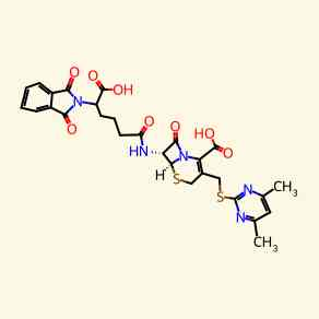 Cc1cc(C)nc(SCC2=C(C(=O)O)N3C(=O)[C@@H](NC(=O)CCCC(C(=O)O)N4C(=O)c5ccccc5C4=O)[C@@H]3SC2)n1